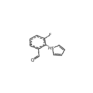 O=Cc1cccc(F)c1[SH]1C=CC=C1